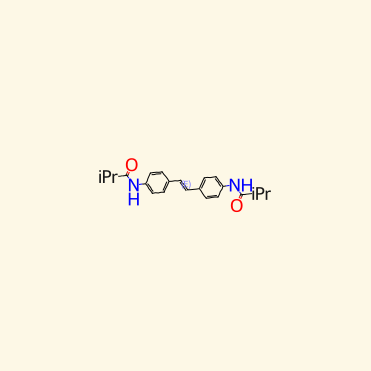 CC(C)C(=O)Nc1ccc(/C=C/c2ccc(NC(=O)C(C)C)cc2)cc1